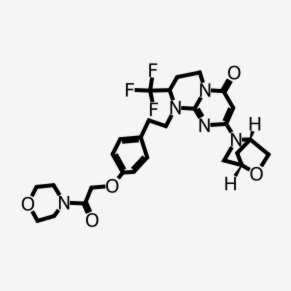 O=C(COc1ccc(CCN2c3nc(N4C[C@@H]5C[C@H]4CO5)cc(=O)n3CCC2C(F)(F)F)cc1)N1CCOCC1